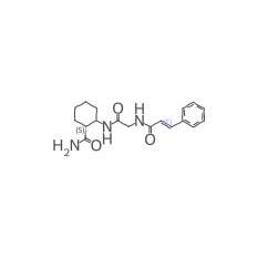 NC(=O)[C@H]1CCCCC1NC(=O)CNC(=O)/C=C/c1ccccc1